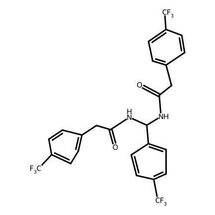 O=C(Cc1ccc(C(F)(F)F)cc1)NC(NC(=O)Cc1ccc(C(F)(F)F)cc1)c1ccc(C(F)(F)F)cc1